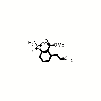 C=CCC1CCCC(S(N)(=O)=O)=C1C(=O)OC